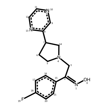 O/N=C(\CN1CCC(c2cnccn2)C1)c1ccc(F)cc1